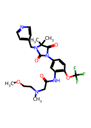 COCCN(C)CC(=O)Nc1cc(N2C(=O)N(Cc3ccncc3)C(C)(C)C2=O)ccc1OC(F)(F)F